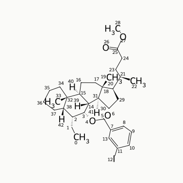 CC[C@H]1[C@@H](OC(=O)c2cccc(I)c2)[C@@H]2[C@H](CC[C@]3(C)[C@@H]([C@H](C)CCC(=O)OC)CC[C@@H]23)[C@@]2(C)CCCC[C@@H]12